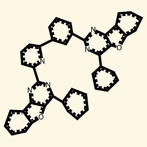 c1ccc(-c2nc(-c3cccc(-c4cccc(-c5nc(-c6ccccc6)c6oc7ccccc7c6n5)n4)c3)nc3c2oc2ccccc23)cc1